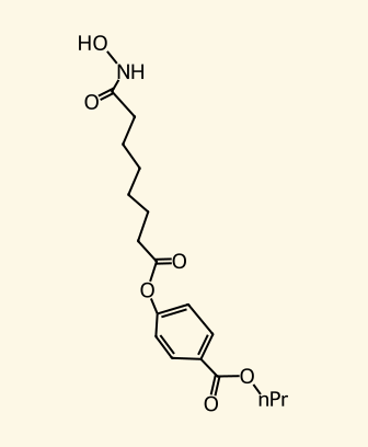 CCCOC(=O)c1ccc(OC(=O)CCCCCCC(=O)NO)cc1